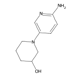 Nc1ccc(N2CCCC(O)C2)cn1